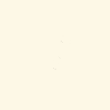 CCCCCNc1ccc(OCc2ccc3ccccc3n2)cc1